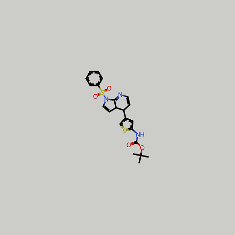 CC(C)(C)OC(=O)Nc1cc(C2C=CN=C3C2C=CN3S(=O)(=O)c2ccccc2)cs1